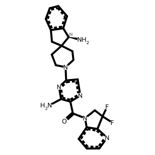 Nc1nc(N2CCC3(CC2)Cc2ccccc2[C@H]3N)cnc1C(=O)N1CC(F)(F)c2ncccc21